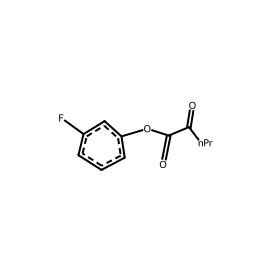 CCCC(=O)C(=O)Oc1cccc(F)c1